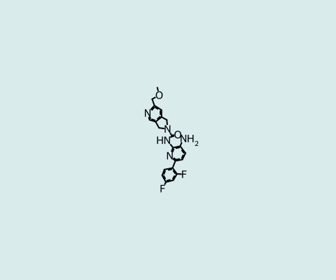 COCc1cc2c(cn1)CN(C(=O)Nc1nc(-c3ccc(F)cc3F)ccc1N)C2